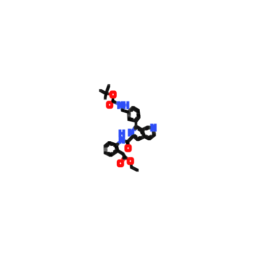 CCOC(=O)Cc1ccccc1NC(=O)c1cc2ccncc2c(-c2cccc(CNC(=O)OC(C)(C)C)c2)n1